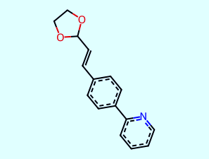 C(=CC1OCCO1)c1ccc(-c2ccccn2)cc1